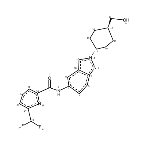 O=C(Nc1ccc2nn([C@H]3CC[C@H](CO)CC3)cc2c1)c1cccc(C(F)F)n1